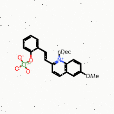 CCCCCCCCCC[n+]1c(C=Cc2ccccc2O[Cl+3]([O-])([O-])[O-])ccc2cc(OC)ccc21